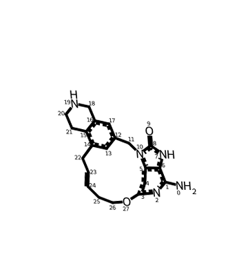 Nc1nc2cc3c1[nH]c(=O)n3Cc1cc(c3c(c1)CNCC3)C/C=C/CCO2